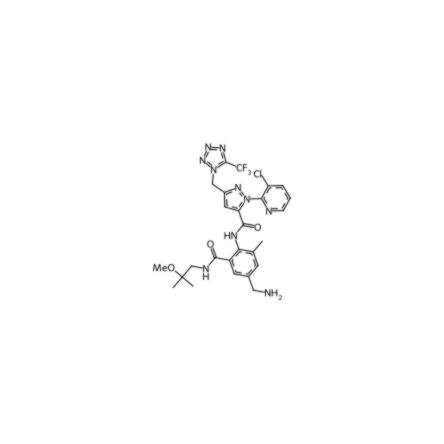 COC(C)(C)CNC(=O)c1cc(CN)cc(C)c1NC(=O)c1cc(Cn2nnnc2C(F)(F)F)nn1-c1ncccc1Cl